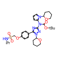 CC(C)NS(=O)(=O)COc1ccc(-c2nc(N(C(=O)OC(C)(C)C)c3cccn3C3CCCCO3)nn2C2CCCCO2)cc1